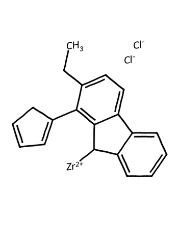 CCc1ccc2c(c1C1=CC=CC1)[CH]([Zr+2])c1ccccc1-2.[Cl-].[Cl-]